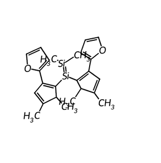 CC1=CC(c2ccco2)=C([Si](C2=C(c3ccco3)C=C(C)C2C)=[Si](C)C)C1C